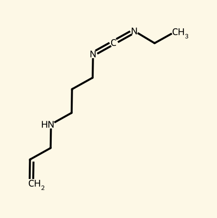 C=CCNCCCN=C=NCC